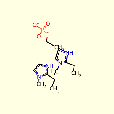 CCOP(=O)([O-])[O-].CCc1[nH]cc[n+]1C.CCc1[nH]cc[n+]1C